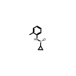 Cc1ccccc1N[S+]([O-])C1CC1